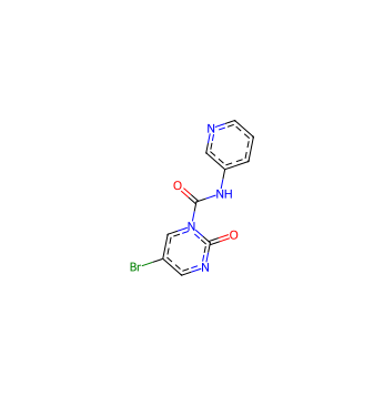 O=C(Nc1cccnc1)n1cc(Br)cnc1=O